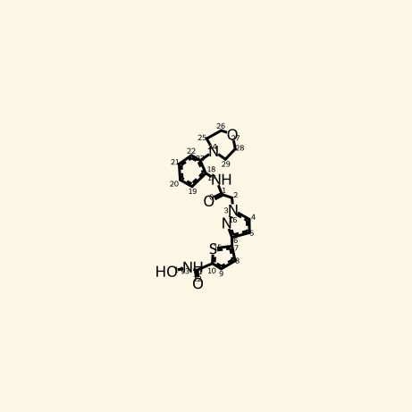 O=C(Cn1ccc(-c2ccc(C(=O)NO)s2)n1)Nc1ccccc1N1CCOCC1